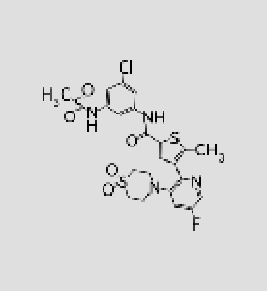 Cc1sc(C(=O)Nc2cc(Cl)cc(NS(C)(=O)=O)c2)cc1-c1ncc(F)cc1N1CCS(=O)(=O)CC1